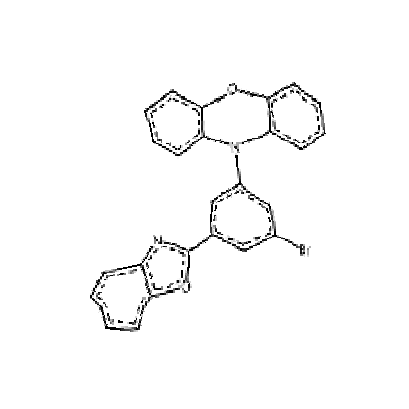 Brc1cc(-c2nc3ccccc3o2)cc(N2c3ccccc3Oc3ccccc32)c1